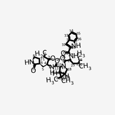 C=CC(=O)[C@H](C[C@@H]1CCNC1=O)NC(=O)[C@@H]1[C@@H]2[C@H](CN1C(=O)C(CC(C)C)NC(=O)c1cc3ccccc3[nH]1)C2(C)C